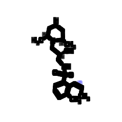 C/C=C\c1c(C)cccc1S(=O)(=O)NC[C@@H](O)CN1[C@H](C)CNC[C@@H]1C